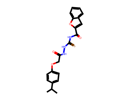 CC(C)c1ccc(OCC(=O)NNC(=S)NC(=O)c2cc3ccccc3o2)cc1